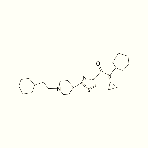 O=C(c1csc(C2CCN(CCC3CCCCC3)CC2)n1)N(C1CCCCC1)C1CC1